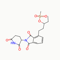 CCC(CCc1cccc2c1C(=O)N(C1CCC(=O)NC1=O)C2=O)OS(C)(=O)=O